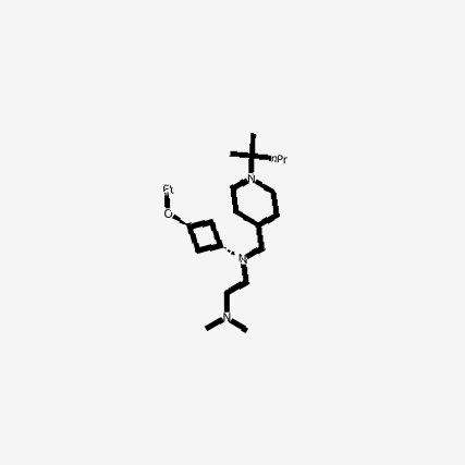 CCCC(C)(C)N1CCC(CN(CCN(C)C)[C@H]2C[C@H](OCC)C2)CC1